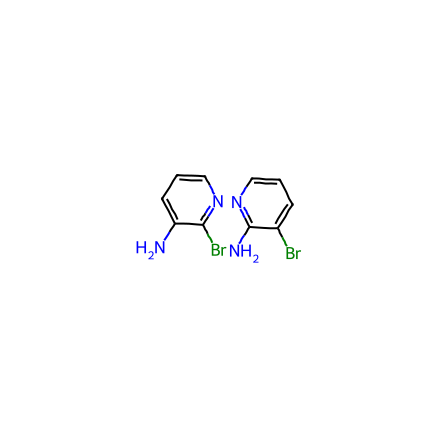 Nc1cccnc1Br.Nc1ncccc1Br